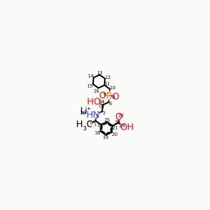 CC(NC[C@H](O)CP(=O)([O-])CC1CCCCC1)c1cccc(C(=O)O)c1.[Li+]